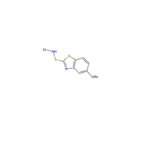 CCNSc1nc2cc(OC)ccc2s1